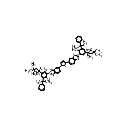 CC(C)(C)CC(C)(C)c1cc(-n2nc3ccc(-c4ccc(-c5ccc6nn(-c7cc(C(C)(C)CC(C)(C)C)cc(C(C)(C)c8ccccc8)c7O)nc6c5)s4)cc3n2)c(O)c(C(C)(C)c2ccccc2)c1